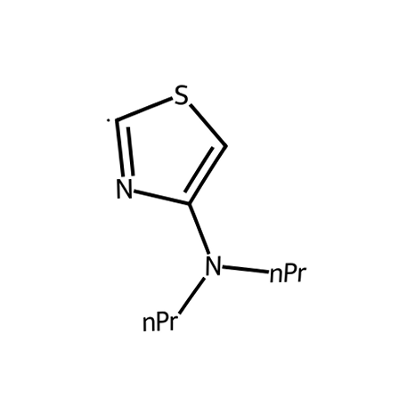 CCCN(CCC)c1cs[c]n1